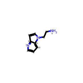 NCCn1ccc2ncccc21